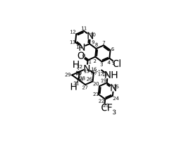 O=C(c1cc(Cl)ccc1-c1ncccn1)N1[C@H](CNc2ccc(C(F)(F)F)cn2)CC[C@H]2C[C@H]21